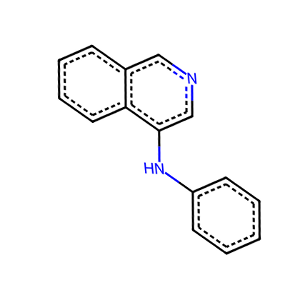 c1ccc(Nc2cncc3ccccc23)cc1